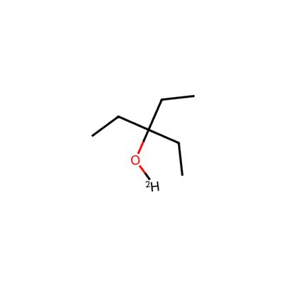 [2H]OC(CC)(CC)CC